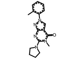 Cc1ccccc1-n1cc2c(=O)n(C)c(N3CCCC3)nc2n1